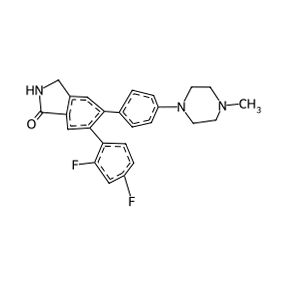 CN1CCN(c2ccc(-c3cc4c(cc3-c3ccc(F)cc3F)C(=O)NC4)cc2)CC1